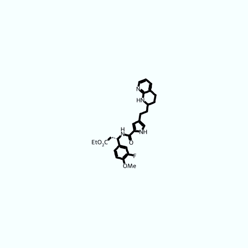 CCOC(=O)C[C@H](NC(=O)c1cc(CCC2CCc3cccnc3N2)c[nH]1)c1ccc(OC)c(F)c1